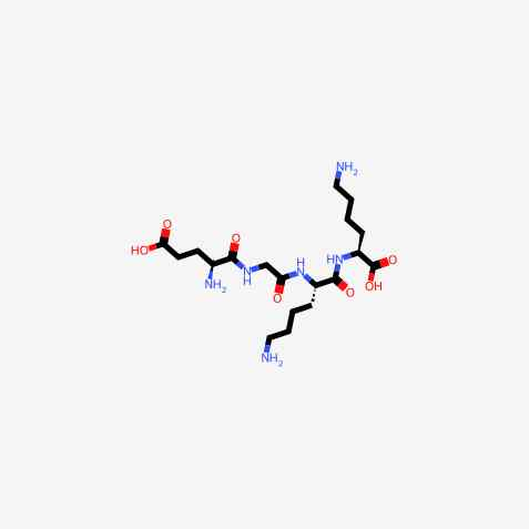 NCCCC[C@H](NC(=O)[C@H](CCCCN)NC(=O)CNC(=O)[C@@H](N)CCC(=O)O)C(=O)O